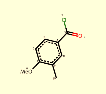 COc1ccc(C(=O)Cl)cc1C